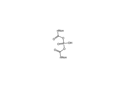 CCCCCCCCCC(=O)OP(=O)(O)OC(=O)CCCCCCCCC